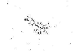 CNc1ccc(C#C[Si](C(C)C)(C(C)C)C(C)C)cc1